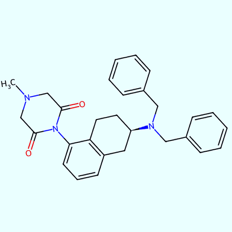 CN1CC(=O)N(c2cccc3c2CC[C@@H](N(Cc2ccccc2)Cc2ccccc2)C3)C(=O)C1